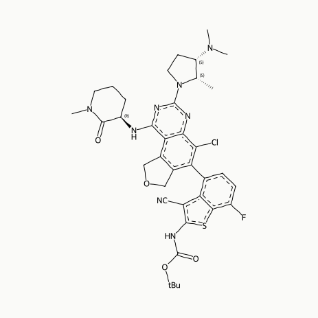 C[C@H]1[C@@H](N(C)C)CCN1c1nc(N[C@@H]2CCCN(C)C2=O)c2c3c(c(-c4ccc(F)c5sc(NC(=O)OC(C)(C)C)c(C#N)c45)c(Cl)c2n1)COC3